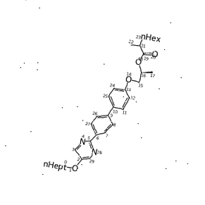 CCCCCCCOc1cnc(-c2ccc(-c3ccc(OC[C@H](C)OC(=O)C(C)CCCCCC)cc3)cc2)nc1